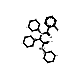 Cc1ccccc1C(=O)N(C1CCCCC1)C(C(=O)NC1CCCCC1)C1CCCCC1